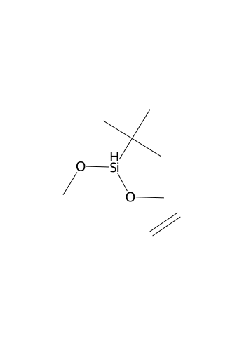 C=C.CO[SiH](OC)C(C)(C)C